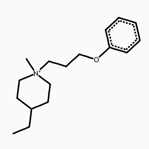 CCC1CC[N+](C)(CCCOc2ccccc2)CC1